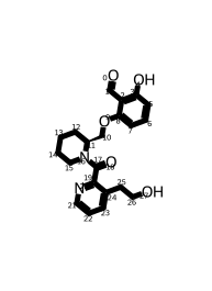 O=Cc1c(O)cccc1OC[C@@H]1CCCCN1C(=O)c1ncccc1CCO